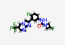 O=C(Nc1ccc(F)c(-c2cn3cc(C(F)(F)F)cnc3n2)c1)N1CC(F)C1